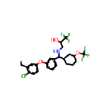 CCc1cc(Oc2cccc(C(NCC(O)C(F)(F)F)C3CCCC(OC(F)(F)F)C3)c2)ccc1Cl